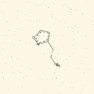 CCCCCCc1c[c]on1